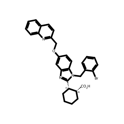 O=C(O)[C@@H]1CCCC[C@@H]1c1nc2cc(OCc3ccc4ccccc4n3)ccc2n1Cc1ccccc1Br